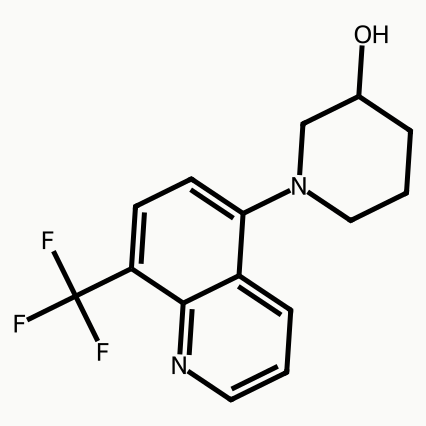 OC1CCCN(c2ccc(C(F)(F)F)c3ncccc23)C1